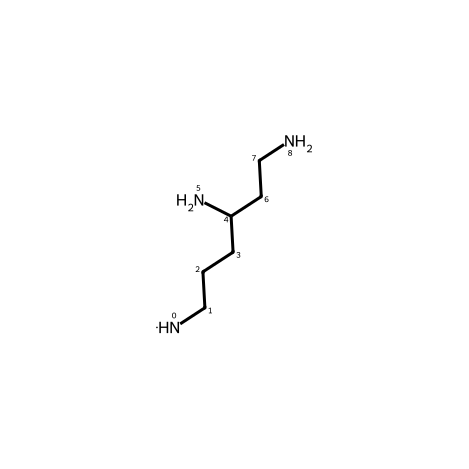 [NH]CCCC(N)CCN